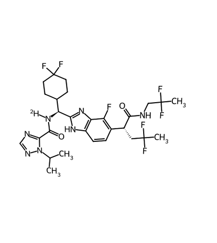 [2H]N(C(=O)c1ncnn1C(C)C)[C@H](c1nc2c(F)c([C@@H](CC(C)(F)F)C(=O)NCC(C)(F)F)ccc2[nH]1)C1CCC(F)(F)CC1